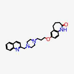 O=C1CCCc2cc(OCCCN3CCN(Cc4ccc5ccccc5n4)CC3)ccc2N1